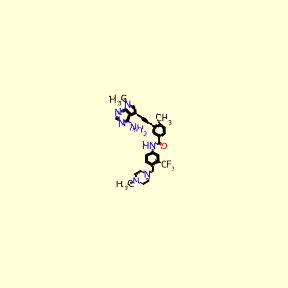 Cc1ccc(C(=O)Nc2ccc(CN3CCN(C)CC3)c(C(F)(F)F)c2)cc1C#Cc1cn(C)c2ncnc(N)c12